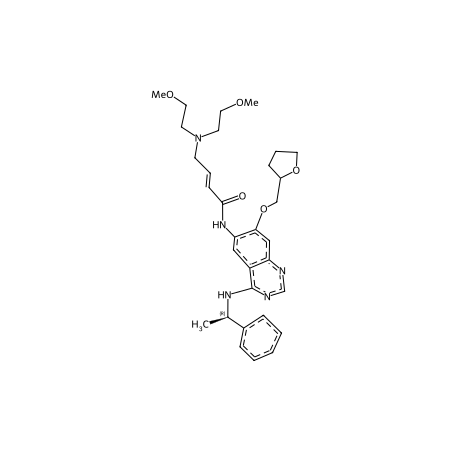 COCCN(CC=CC(=O)Nc1cc2c(N[C@H](C)c3ccccc3)ncnc2cc1OCC1CCCO1)CCOC